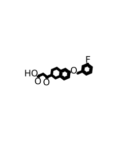 O=C(O)CC(=O)C1CCc2cc(OCc3cccc(F)c3)ccc2C1